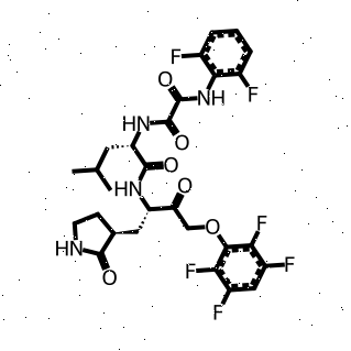 CC(C)C[C@H](NC(=O)C(=O)Nc1c(F)cccc1F)C(=O)N[C@@H](C[C@@H]1CCNC1=O)C(=O)COc1c(F)c(F)cc(F)c1F